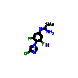 CSC(N)=Nc1cc(F)c(-n2cnc(Cl)c2)c(F)c1.I